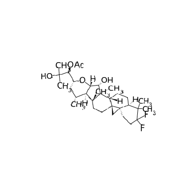 CC(=O)O[C@@H]([C@H]1C[C@@H](C)[C@H]2[C@H](O1)[C@H](O)[C@@]1(C)[C@@H]3CC[C@H]4C(C)(C)C(F)(F)CC[C@@]45C[C@@]35CC[C@]21C)C(C)(C)O